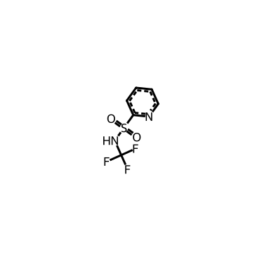 O=S(=O)(NC(F)(F)F)c1ccccn1